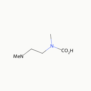 CNCCN(C)C(=O)O